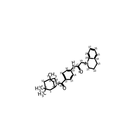 CC1(C)CC2CC(C)(CN2C(=O)c2ccc(NC(=O)CN3CCCc4ccccc43)cc2)C1